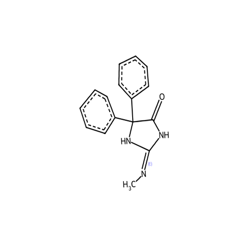 C/N=C1/NC(=O)C(c2ccccc2)(c2ccccc2)N1